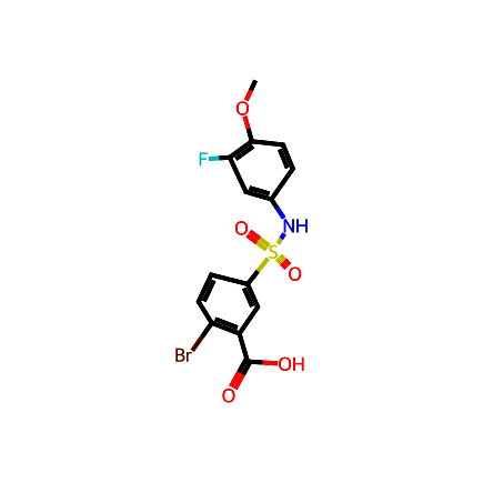 COc1ccc(NS(=O)(=O)c2ccc(Br)c(C(=O)O)c2)cc1F